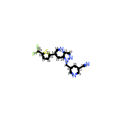 N#Cc1cncc(Cn2ncc3ncc(-c4ccc(C(F)F)s4)cc32)c1